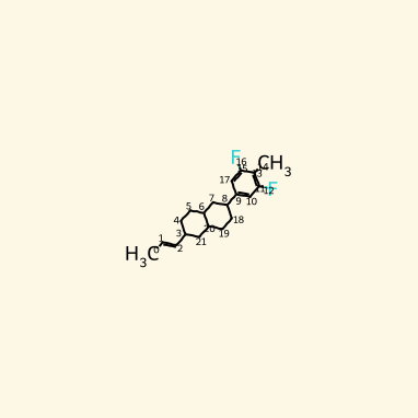 CC=CC1CCC2CC(c3cc(F)c(C)c(F)c3)CCC2C1